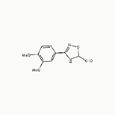 COc1ccc(C2=NOC(C=O)N2)cc1OC